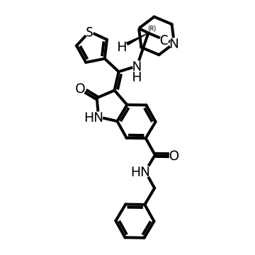 O=C1Nc2cc(C(=O)NCc3ccccc3)ccc2C1=C(N[C@H]1CN2CCC1CC2)c1ccsc1